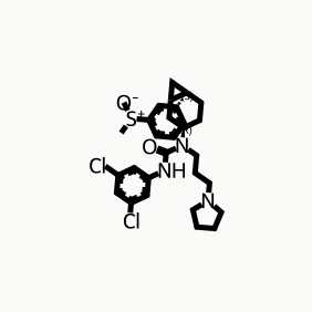 C[S+]([O-])c1cccc([C@]23CC[C@@H](N(CCCN4CCCC4)C(=O)Nc4cc(Cl)cc(Cl)c4)CC2C3)c1